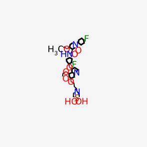 CCOc1ccn(-c2ccc(F)cc2)c(=O)c1C(=O)Nc1ccc(Oc2ccnc3cc(OCCCN4CCS(O)(O)CC4)c4c(c23)OCCO4)c(F)c1